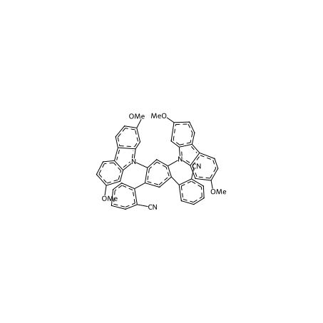 COc1ccc2c3ccc(OC)cc3n(-c3cc(-n4c5cc(OC)ccc5c5ccc(OC)cc54)c(-c4ccccc4C#N)cc3-c3ccccc3C#N)c2c1